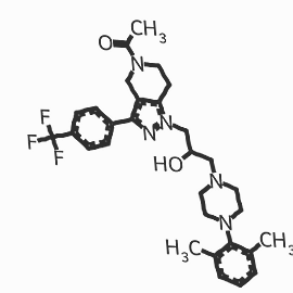 CC(=O)N1CCc2c(c(-c3ccc(C(F)(F)F)cc3)nn2CC(O)CN2CCN(c3c(C)cccc3C)CC2)C1